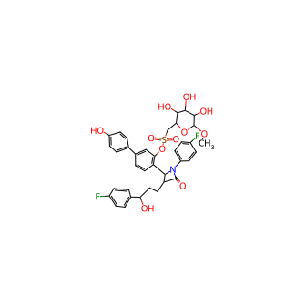 COC1OC(CS(=O)(=O)Oc2cc(-c3ccc(O)cc3)ccc2C2C(CCC(O)c3ccc(F)cc3)C(=O)N2c2ccc(F)cc2)C(O)C(O)C1O